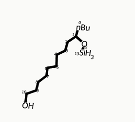 CCCCC(CCCCCCCCCO)O[SiH3]